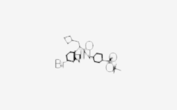 CC(C)(C)OC(=O)c1ccc(NC(=O)C(CC2CCC2)c2ccc(Br)cn2)cc1